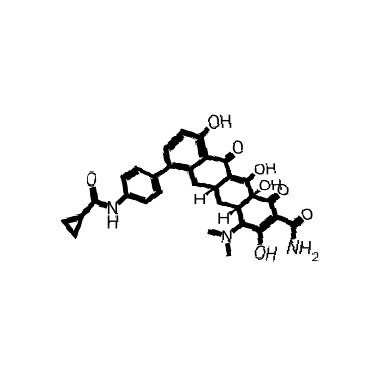 CN(C)C1C(O)=C(C(N)=O)C(=O)[C@@]2(O)C(O)=C3C(=O)c4c(O)ccc(-c5ccc(NC(=O)C6CC6)cc5)c4C[C@H]3C[C@@H]12